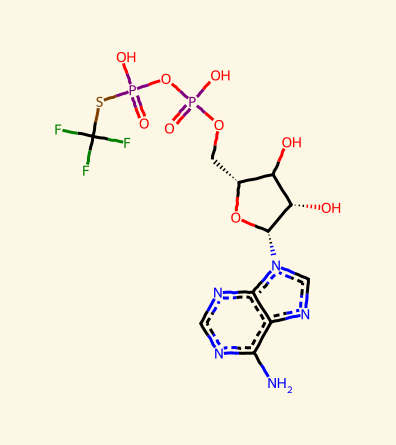 Nc1ncnc2c1ncn2[C@@H]1O[C@H](COP(=O)(O)OP(=O)(O)SC(F)(F)F)C(O)[C@@H]1O